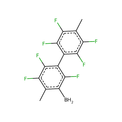 Bc1c(C)c(F)c(F)c(-c2c(F)c(F)c(C)c(F)c2F)c1F